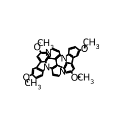 COc1ccc2c(c1)c1cc(OC)ccc1n2-c1ccncc1-c1cnccc1-n1c2ccc(OC)cc2c2cc(OC)ccc21